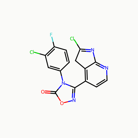 O=c1onc(-c2ccnc3c2CC(Cl)=N3)n1-c1ccc(F)c(Cl)c1